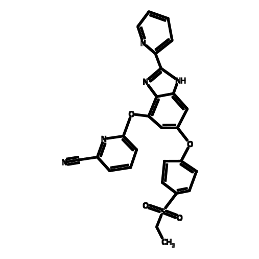 CCS(=O)(=O)c1ccc(Oc2cc(Oc3cccc(C#N)n3)c3nc(-c4ccccn4)[nH]c3c2)cc1